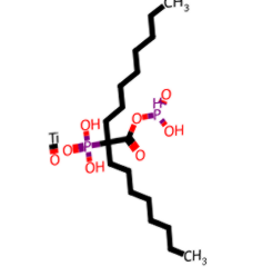 CCCCCCCCC(CCCCCCCC)(C(=O)O[PH](=O)O)P(=O)(O)O.[O]=[Ti]